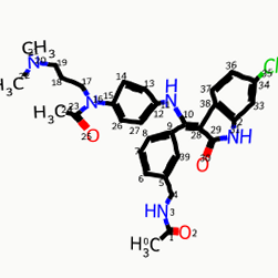 CC(=O)NCc1cccc(C(Nc2ccc(N(CCCN(C)C)C(C)=O)cc2)=C2C(=O)Nc3cc(Cl)ccc32)c1